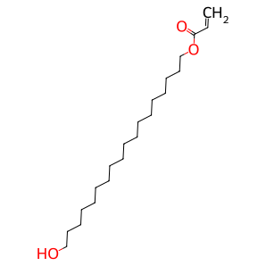 C=CC(=O)OCCCCCCCCCCCCCCCCCCO